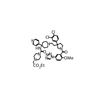 CCOC(=O)CN1CCN(C(=O)NC2(c3ccncc3)CCN(CCC3(c4ccc(Cl)c(Cl)c4)CCN(C(=O)c4cc(-n5cnnn5)ccc4OC)C3)CC2)CC1